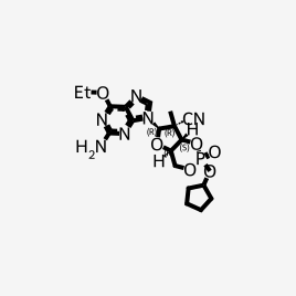 CCOc1nc(N)nc2c1ncn2[C@@H]1O[C@@H]2COP(=O)(OC3CCCC3)O[C@H]2[C@@]1(C)C#N